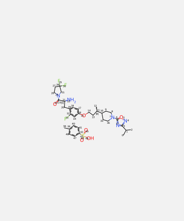 CC(C)c1noc(N2CCC([C@H](C)CCOc3ccc(C[C@H](N)C(=O)N4CCC(F)(F)C4)c(F)c3)CC2)n1.Cc1ccc(S(=O)(=O)O)cc1